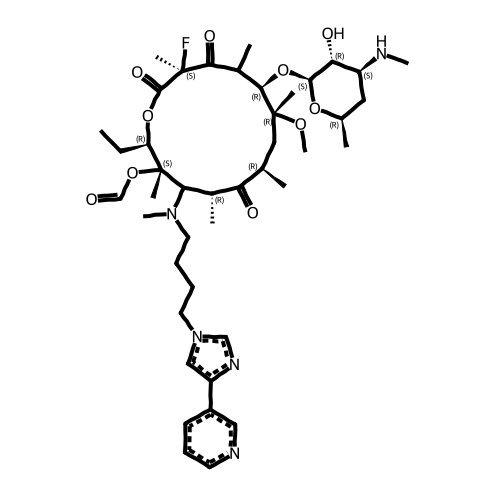 CC[C@H]1OC(=O)[C@@](C)(F)C(=O)C(C)[C@@H](O[C@@H]2O[C@H](C)C[C@H](NC)[C@H]2O)[C@](C)(OC)C[C@@H](C)C(=O)[C@H](C)C(N(C)CCCCn2cnc(-c3cccnc3)c2)[C@]1(C)OC=O